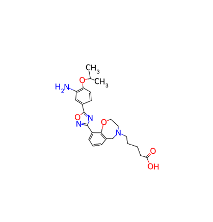 CC(C)Oc1ccc(-c2nc(-c3cccc4c3OCCN(CCCCC(=O)O)C4)no2)cc1N